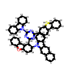 c1ccc2cc3c(cc2c1)c1ccccc1n3-c1ccc2oc3ccccc3c2c1-c1nc(-c2ccc3c(c2)sc2ccccc23)nc(-n2c3ccccc3c3ccccc32)n1